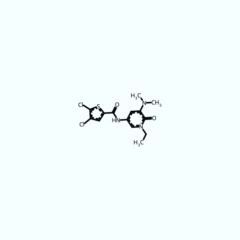 CCn1cc(NC(=O)c2cc(Cl)c(Cl)s2)cc(N(C)C)c1=O